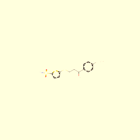 COc1ccc(C(O)CCSc2ccc(S(N)(=O)=O)s2)cc1